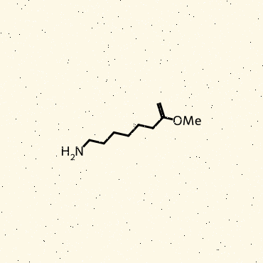 C=C(CCCCCCN)OC